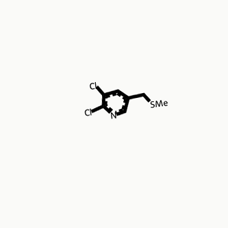 CSCc1cnc(Cl)c(Cl)c1